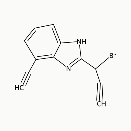 C#Cc1cccc2[nH]c(C(Br)C#C)nc12